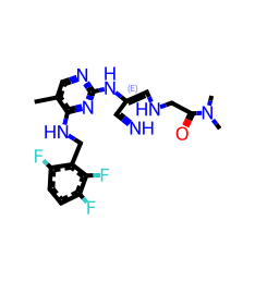 Cc1cnc(N/C(C=N)=C/NCC(=O)N(C)C)nc1NCc1c(F)ccc(F)c1F